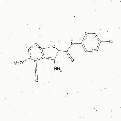 COc1ccc2c(c1=C=O)=C(N)C(C(=O)Nc1ccc(Cl)cn1)O2